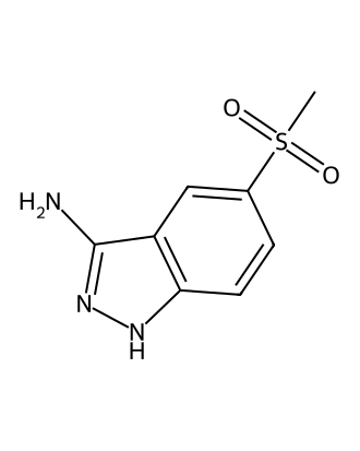 CS(=O)(=O)c1ccc2[nH]nc(N)c2c1